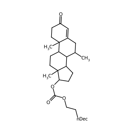 CCCCCCCCCCCCOC(=O)OC1CCC2C3C(C)CC4=CC(=O)CCC4(C)C3CCC12C